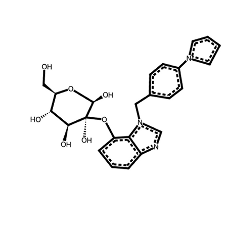 OC[C@H]1O[C@@H](O)[C@@](O)(Oc2cccc3ncn(Cc4ccc(-n5cccc5)cc4)c23)[C@@H](O)[C@@H]1O